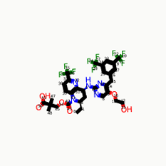 CC[C@@H]1C[C@H](Nc2ncc(OCCO)c(Cc3cc(C(F)(F)F)cc(C(F)(F)F)c3)n2)c2nc(C(F)(F)F)ccc2N1C(=O)OCC(C)(C)C(=O)O